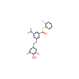 Cc1cc(CCc2cc(C(=O)Sc3ccccc3F)cc(N(C)C)c2)cc(C)c1O